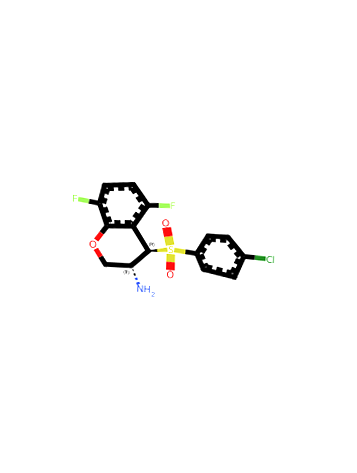 N[C@@H]1COc2c(F)ccc(F)c2[C@H]1S(=O)(=O)c1ccc(Cl)cc1